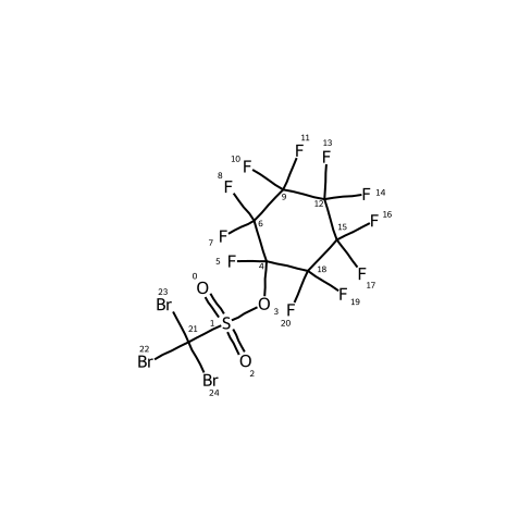 O=S(=O)(OC1(F)C(F)(F)C(F)(F)C(F)(F)C(F)(F)C1(F)F)C(Br)(Br)Br